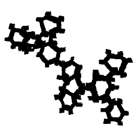 CC12CC=C(c3ccc4c(c3)c3ccccc3n4-c3nc(-c4ccccc4)nc(C4C=CC=CC4)n3)C=C1c1ccccc1N2c1ccccc1